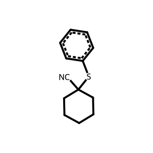 N#CC1(Sc2ccccc2)CCCCC1